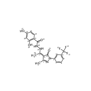 CC1=NN(c2cccc(C(F)(F)F)c2)C(=O)/C1=C(/C)NNC(=O)c1ccc(O)cc1O